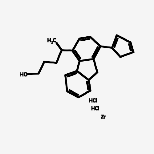 CC(CCCO)c1ccc(C2=CC=CC2)c2c1-c1ccccc1C2.Cl.Cl.[Zr]